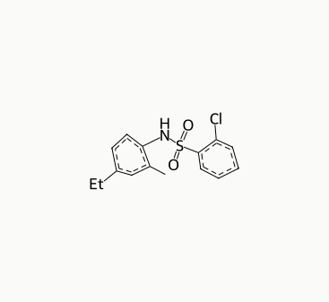 CCc1ccc(NS(=O)(=O)c2ccccc2Cl)c(C)c1